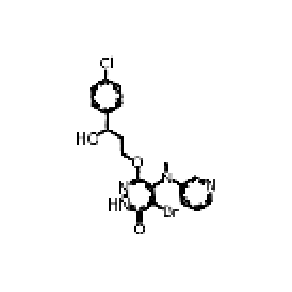 CN(c1cccnc1)c1c(OCCC(O)c2ccc(Cl)cc2)n[nH]c(=O)c1Br